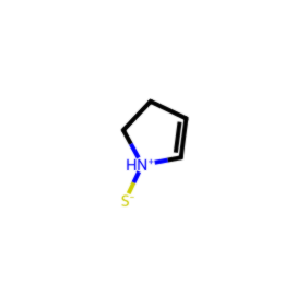 [S-][NH+]1C=CCC1